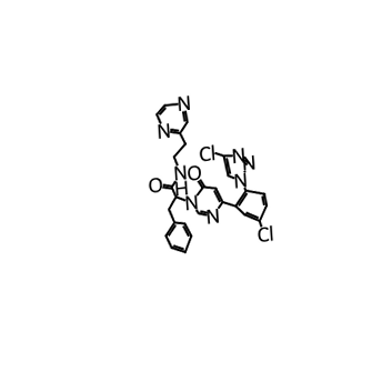 O=C(NCCc1cnccn1)C(Cc1ccccc1)n1cnc(-c2cc(Cl)ccc2-n2cc(Cl)nn2)cc1=O